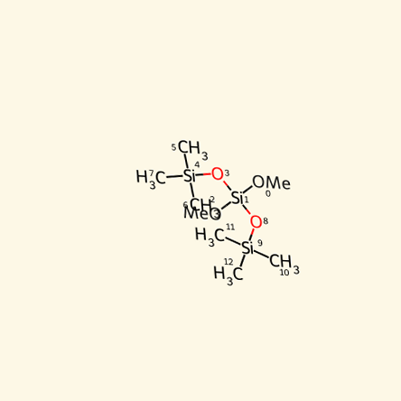 CO[Si](OC)(O[Si](C)(C)C)O[Si](C)(C)C